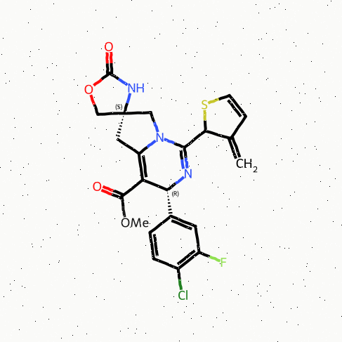 C=C1C=CSC1C1=N[C@H](c2ccc(Cl)c(F)c2)C(C(=O)OC)=C2C[C@@]3(COC(=O)N3)CN12